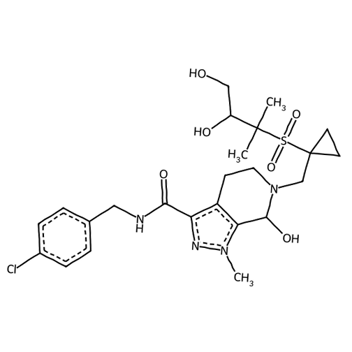 Cn1nc(C(=O)NCc2ccc(Cl)cc2)c2c1C(O)N(CC1(S(=O)(=O)C(C)(C)C(O)CO)CC1)CC2